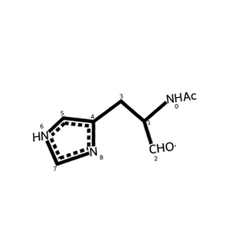 CC(=O)NC([C]=O)Cc1c[nH]cn1